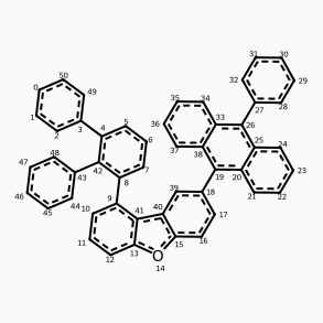 c1ccc(-c2cccc(-c3cccc4oc5ccc(-c6c7ccccc7c(-c7ccccc7)c7ccccc67)cc5c34)c2-c2ccccc2)cc1